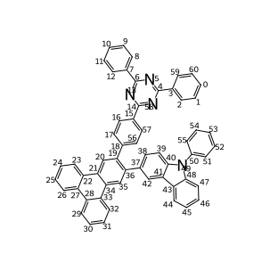 c1ccc(-c2nc(-c3ccccc3)nc(-c3ccc(-c4cc5c6ccccc6c6ccccc6c5cc4-c4ccc5c(c4)c4ccccc4n5-c4ccccc4)cc3)n2)cc1